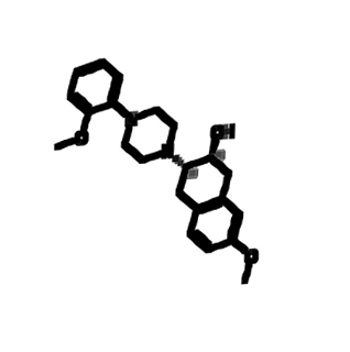 COc1ccc2c(c1)C[C@H](O)[C@@H](N1CCN(c3ccccc3OC)CC1)C2